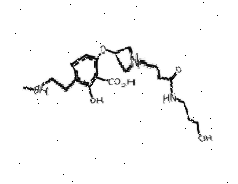 CBCCc1ccc(OC2CN(CCC(=O)NCCCO)C2)c(C(=O)O)c1O